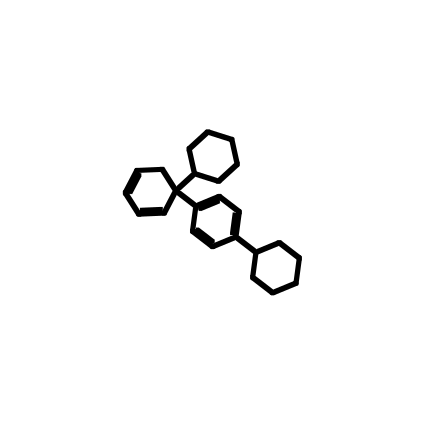 C1=CCC(c2ccc(C3CCCCC3)cc2)(C2CCCCC2)C=C1